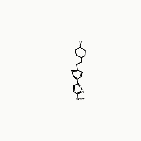 CCCCCc1ccc(-c2ccc(CCC3CCC(CC)CC3)cc2)nn1